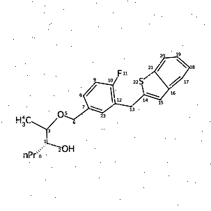 CCC[C@@H](O)C(C)OCc1ccc(F)c(Cc2cc3ccccc3s2)c1